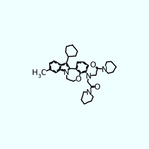 Cc1ccc2c(C3CCCCC3)c3n(c2c1)CCOc1c-3cccc1N(CC(=O)N1CCCCC1)CC(=O)N1CCCCC1